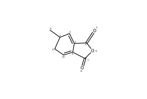 CC1C=C2C(=O)OC(=O)C2=CC1